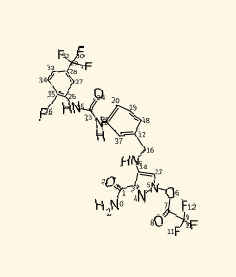 NC(=O)c1nn(OC(=O)C(F)(F)F)cc1NCc1cccc(NC(=O)Nc2cc(C(F)(F)F)ccc2F)c1